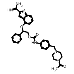 CC(=O)N1CCN(Cc2ccc(NC(=O)OCC(Oc3cccc4sc(C(=N)N)cc34)c3ccccc3)cc2)CC1